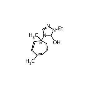 CCN1N=CN([C@]2(C)C=CC=C(C)C=C2)C1O